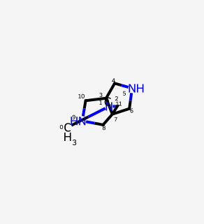 CN1CC23CNCC2(CNC3)C1